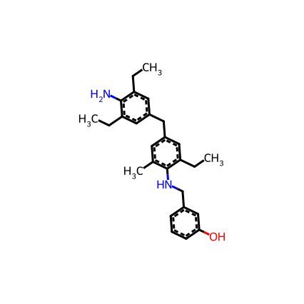 CCc1cc(Cc2cc(C)c(NCc3cccc(O)c3)c(CC)c2)cc(CC)c1N